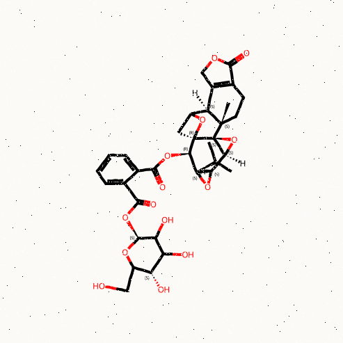 CC(C)[C@]12O[C@H]1[C@@H]1O[C@@]13[C@@]1(C)CCC4=C(COC4=O)[C@@H]1C1C[C@@]3(O1)[C@@H]2OC(=O)c1ccccc1C(=O)O[C@@H]1OC(CO)[C@@H](O)C(O)C1O